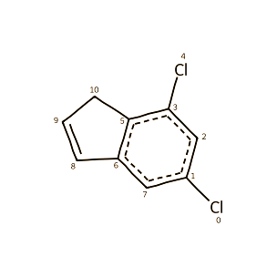 Clc1cc(Cl)c2c(c1)C=CC2